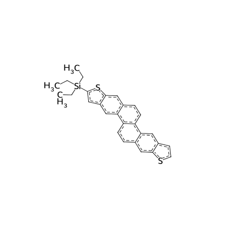 CC[Si](CC)(CC)c1cc2cc3c(ccc4c5cc6ccsc6cc5ccc34)cc2s1